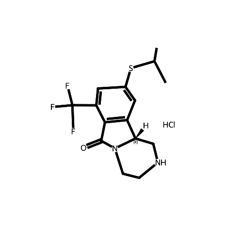 CC(C)Sc1cc2c(c(C(F)(F)F)c1)C(=O)N1CCNC[C@@H]21.Cl